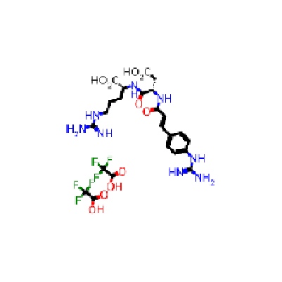 N=C(N)NCCC[C@H](NC(=O)[C@H](CC(=O)O)NC(=O)C=Cc1ccc(NC(=N)N)cc1)C(=O)O.O=C(O)C(F)(F)F.O=C(O)C(F)(F)F